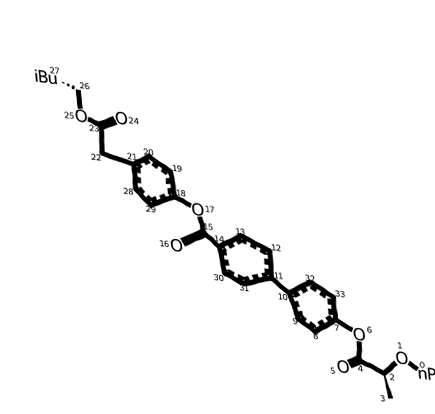 CCCO[C@@H](C)C(=O)Oc1ccc(-c2ccc(C(=O)Oc3ccc(CC(=O)OC[C@@H](C)CC)cc3)cc2)cc1